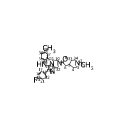 CCN1CCC(CC(=O)N2CCn3c(nc(-c4ccc(F)cc4)c3Nc3ccc(C)cc3)C2)CC1